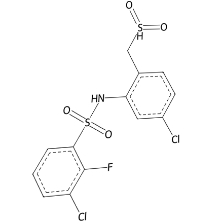 O=[SH](=O)Cc1ccc(Cl)cc1NS(=O)(=O)c1cccc(Cl)c1F